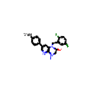 CNc1ccc(-c2cnc3c(c2)N(Cc2cc(F)ccc2F)C(=O)CN3)cc1